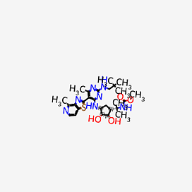 COC(=O)NC(C)(C)[C@H]1C[C@@H](Nc2nc(NCC(C)(C)C)nc(C)c2-c2nc3c(C)nccc3s2)[C@H](O)[C@@H]1O